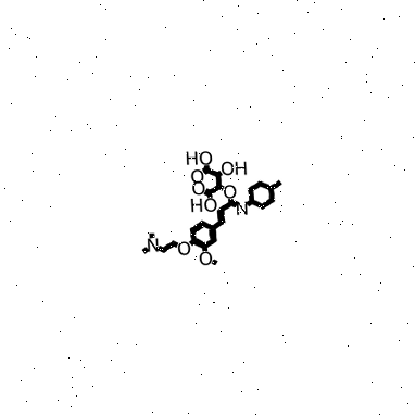 COc1cc(/C=C/C(=NC2CCC(C)CC2)OC(C(=O)O)C(O)C(=O)O)ccc1OCCN(C)C